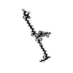 CCCc1cc(C)c(CCCCCCCCCCC(=O)O[C@H](COC(=O)CCCCCCCCCCc2oc(CCC)c(C)c2C)COP(=O)(O)OCCN(C)C)o1